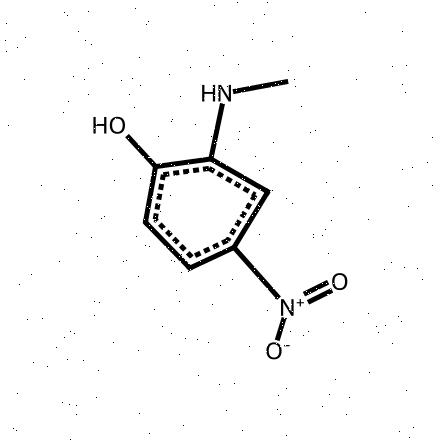 CNc1cc([N+](=O)[O-])ccc1O